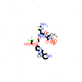 C[n+]1c(C2CCCNC2)cn2cc(OCCO/N=C(\C(=O)N[C@@H]3C(=O)N(OS(=O)(=O)[O-])C3(C)C)c3csc(N)n3)ccc21.O=C(O)C(F)(F)F